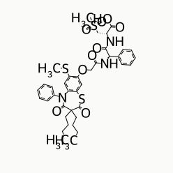 CCCCC1(CCCC)C(=O)Sc2cc(OCC(=O)N[C@@H](C(=O)N[C@H](CS(C)(=O)=O)C(=O)O)c3ccccc3)c(SC)cc2N(c2ccccc2)C1=O